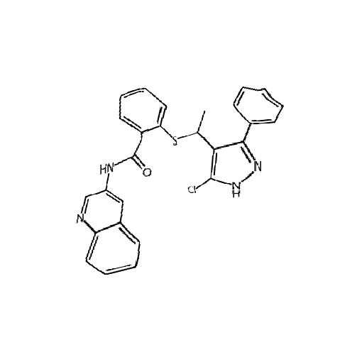 CC(Sc1ccccc1C(=O)Nc1cnc2ccccc2c1)c1c(-c2ccccc2)n[nH]c1Cl